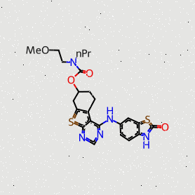 CCCN(CCOC)C(=O)OC1CCc2c(sc3ncnc(Nc4ccc5[nH]c(=O)sc5c4)c23)C1